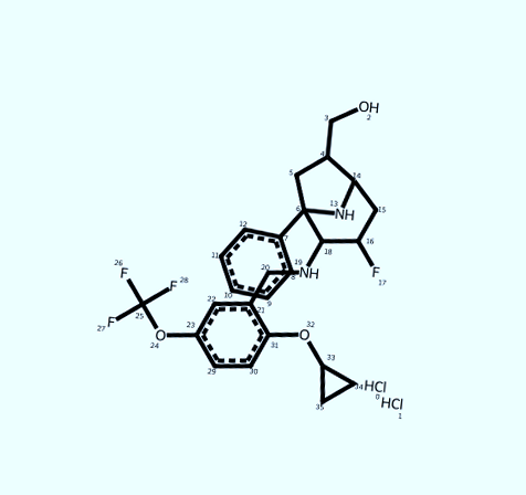 Cl.Cl.OCC1CC2(c3ccccc3)NC1CC(F)C2NCc1cc(OC(F)(F)F)ccc1OC1CC1